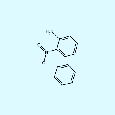 Nc1ccccc1[N+](=O)[O-].c1ccccc1